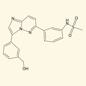 CS(=O)(=O)Nc1cccc(-c2ccc3ncc(-c4cccc(CO)c4)n3n2)c1